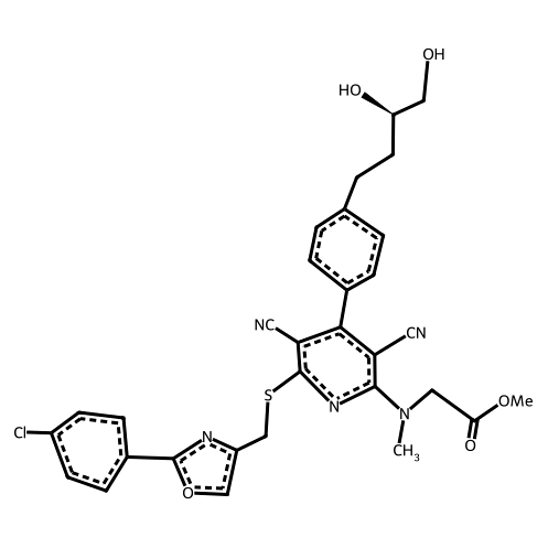 COC(=O)CN(C)c1nc(SCc2coc(-c3ccc(Cl)cc3)n2)c(C#N)c(-c2ccc(CC[C@@H](O)CO)cc2)c1C#N